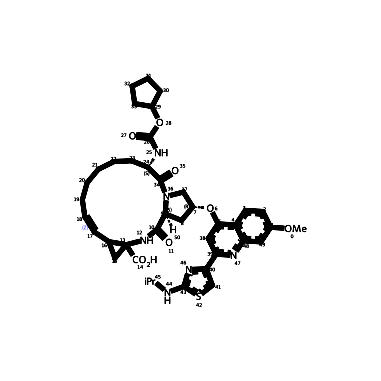 COc1ccc2c(O[C@@H]3C[C@H]4C(=O)NC5(C(=O)O)CC5/C=C\CCCCC[C@H](NC(=O)OC5CCCC5)C(=O)N4C3)cc(-c3csc(NC(C)C)n3)nc2c1